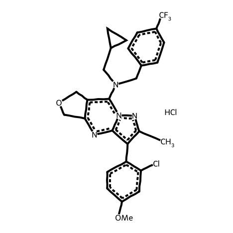 COc1ccc(-c2c(C)nn3c(N(Cc4ccc(C(F)(F)F)cc4)CC4CC4)c4c(nc23)COC4)c(Cl)c1.Cl